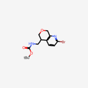 CC(C)(C)OC(=O)NCC1COCc2nc(Br)ccc21